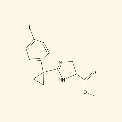 COC(=O)C1CN=C(C2(c3ccc(I)cc3)CC2)N1